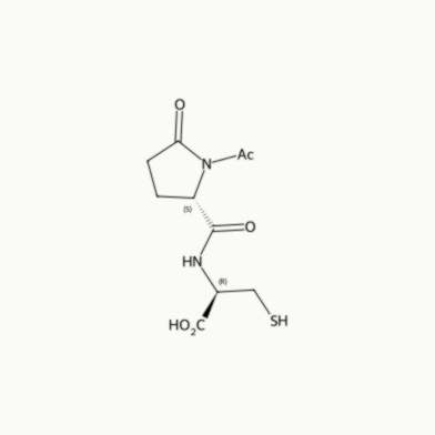 CC(=O)N1C(=O)CC[C@H]1C(=O)N[C@@H](CS)C(=O)O